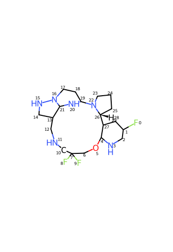 FC1CNC2OCC(F)(F)CNCC3CNN4CCC(NC34)N3CCC[C@@H]3C2C1